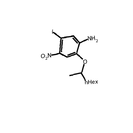 CCCCCCC(C)Oc1cc([N+](=O)[O-])c(I)cc1N